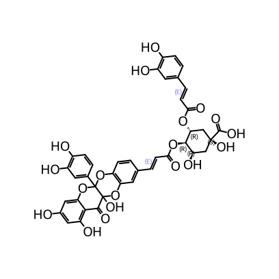 O=C(/C=C/c1ccc2c(c1)OC1(O)C(=O)c3c(O)cc(O)cc3OC1(c1ccc(O)c(O)c1)O2)O[C@@H]1[C@H](O)C[C@@](O)(C(=O)O)C[C@H]1OC(=O)/C=C/c1ccc(O)c(O)c1